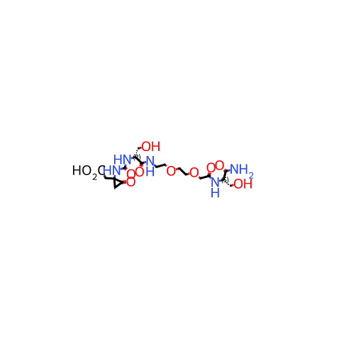 NC(=O)[C@H](CO)NC(=O)COCCOCCNC(=O)[C@@H](CO)NC(=O)NC1(CC(=O)O)CC1=O